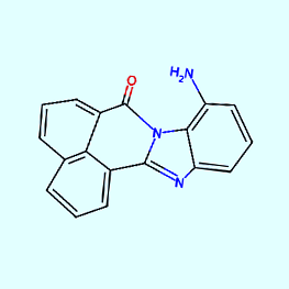 Nc1cccc2nc3c4cccc5cccc(c(=O)n3c12)c54